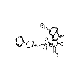 NC(=O)c1[nH]c2ccc(Br)cc2c1S(=O)(=O)NCCN1CCC(c2ccccc2)CC1